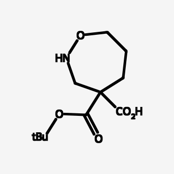 CC(C)(C)OC(=O)C1(C(=O)O)CCCONC1